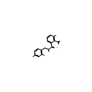 O=C(O)C(Cc1ccc(Br)cc1F)c1n[nH]c(=O)c2c(F)cccc12